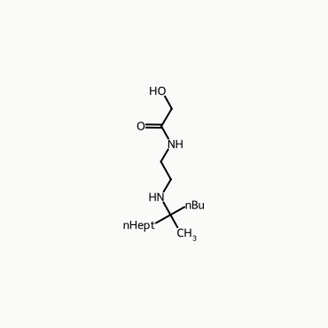 CCCCCCCC(C)(CCCC)NCCNC(=O)CO